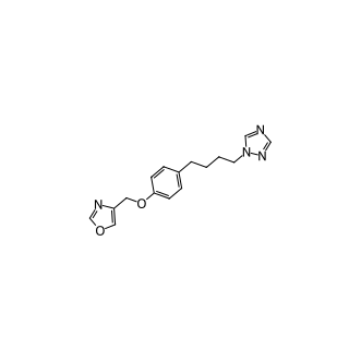 c1ncn(CCCCc2ccc(OCc3cocn3)cc2)n1